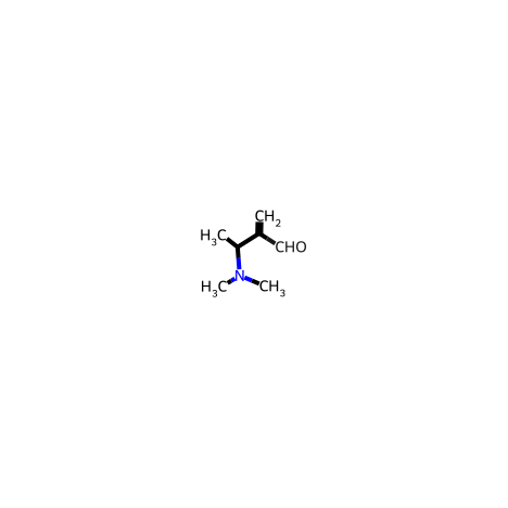 C=C(C=O)C(C)N(C)C